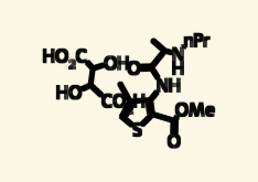 CCCNC(C)C(=O)Nc1c(C)csc1C(=O)OC.O=C(O)C(O)C(O)C(=O)O